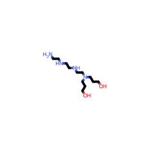 NCCNCCNCCN(CCCO)CCCO